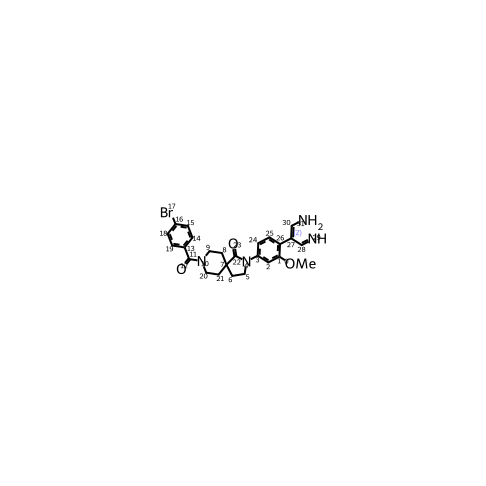 COc1cc(N2CCC3(CCN(C(=O)c4ccc(Br)cc4)CC3)C2=O)ccc1/C(C=N)=C/N